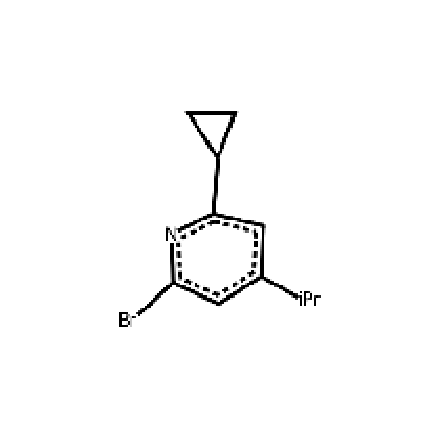 CC(C)c1cc(Br)nc(C2CC2)c1